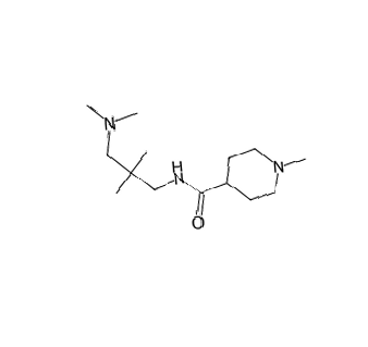 CN(C)CC(C)(C)CNC(=O)C1CCN(C)CC1